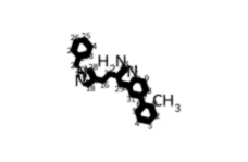 Cc1ccccc1-c1ccc2nc(N)c(CCc3cnn(Cc4ccccc4)c3)cc2c1